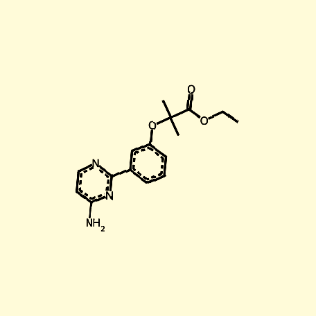 CCOC(=O)C(C)(C)Oc1cccc(-c2nccc(N)n2)c1